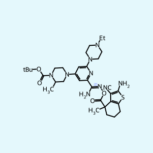 CCN1CCN(c2cc(N3CCN(C(=O)OC(C)(C)C)C(C)C3)cc(/C(N)=N/OC(=O)C3(C)CCCc4sc(N)c(C#N)c43)n2)CC1